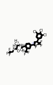 C[C@@H](NC(=O)c1ccc(/C(F)=C/C(c2cc(Cl)c(Cl)c(Cl)c2)C(F)(F)F)cc1C(F)(F)F)C(=O)NCC(F)(F)F